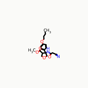 CCCCOc1ccc([C@]2(NC(=O)CC#N)COCC2C(=O)OC)cc1